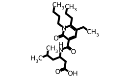 CCCCn1c(CCC)c(CC)cc(C(=O)NC(CC(=O)O)CC(C)C)c1=O